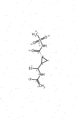 C=C(F)NC(CC)C1C[C@H]1C(=O)NS(C)(=O)=O